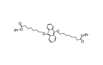 CC(C)OC(=O)CCCCCCCOc1c2ccccc2c(OCCCCCCCC(=O)OC(C)C)c2ccccc12